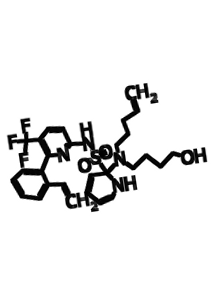 C=CCCCN(CCCCO)C1(S(=O)(=O)Nc2ccc(C(F)(F)F)c(-c3ccccc3C=C)n2)C=CC=CN1